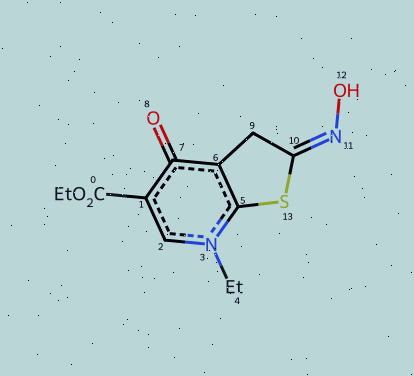 CCOC(=O)c1cn(CC)c2c(c1=O)C/C(=N\O)S2